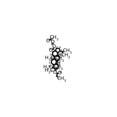 C=C(C)C1CC[C@]2(C(=O)OCOC(C)=O)CC[C@]3(C)[C@H](CC[C@@H]4[C@@]5(C)CC[C@H](OC(=O)CC)C(C)(C)C5CC[C@]43C)C12